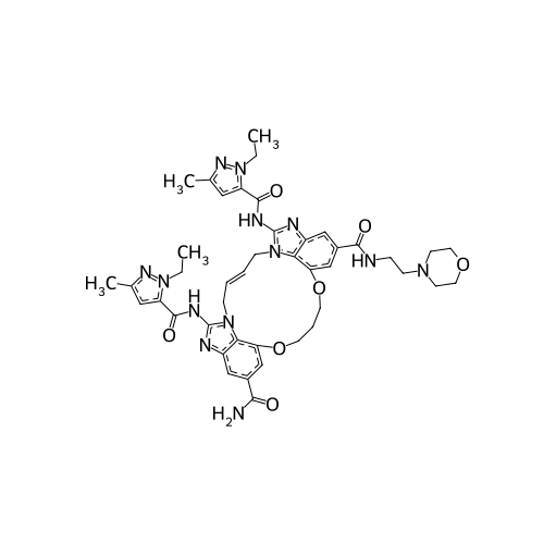 CCn1nc(C)cc1C(=O)Nc1nc2cc(C(N)=O)cc3c2n1C/C=C/Cn1c(NC(=O)c2cc(C)nn2CC)nc2cc(C(=O)NCCN4CCOCC4)cc(c21)OCCCO3